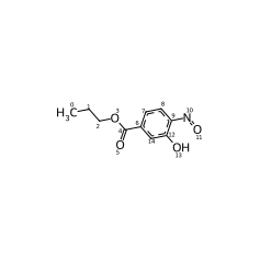 CCCOC(=O)c1ccc(N=O)c(O)c1